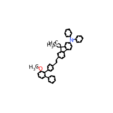 CCC1(CC)c2cc(/C=C/c3ccc(-c4c(OC)cccc4-c4ccccc4)cc3)ccc2-c2ccc(N(c3ccccc3)c3ccccc3)cc21